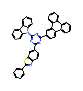 c1ccc(-c2nc3ccc(-c4nc(-c5ccc6c7ccccc7c7ccccc7c6c5)nc(-n5c6ccccc6c6ccccc65)n4)cc3s2)cc1